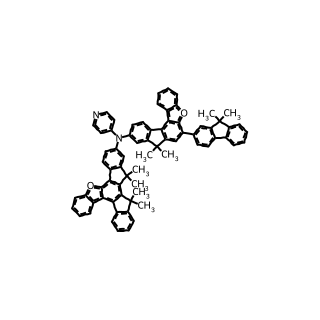 CC1(C)c2ccccc2-c2ccc(-c3cc4c(c5c3oc3ccccc35)-c3ccc(N(c5ccncc5)c5ccc6c(c5)C(C)(C)c5c7c(c8c(oc9ccccc98)c5-6)-c5ccccc5C7(C)C)cc3C4(C)C)cc21